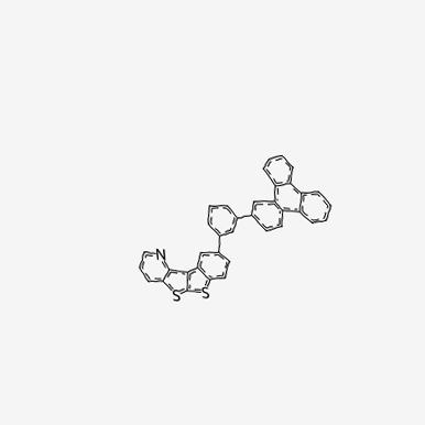 c1cc(-c2ccc3c4ccccc4c4ccccc4c3c2)cc(-c2ccc3sc4sc5cccnc5c4c3c2)c1